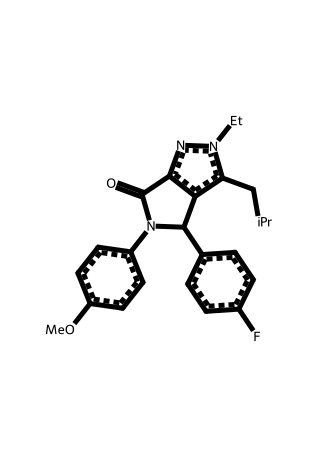 CCn1nc2c(c1CC(C)C)C(c1ccc(F)cc1)N(c1ccc(OC)cc1)C2=O